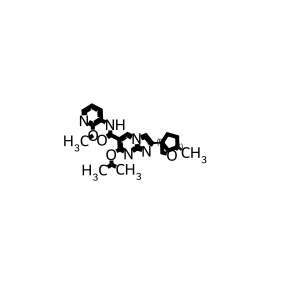 COc1ncccc1NC(=O)c1cn2cc([C@@]34CC[C@@](C)(C3)OC4)nc2nc1OC(C)C